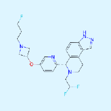 FCCCN1CC(Oc2ccc([C@@H]3c4ccc5[nH]ncc5c4CCN3CC(F)F)nc2)C1